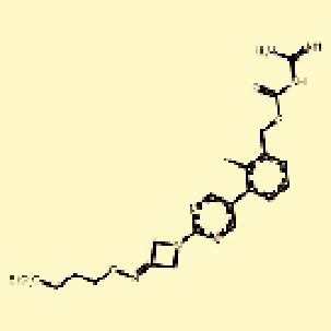 CCOC(=O)CCCON=C1CN(c2ncc(-c3cccc(COC(=O)NC(=N)N)c3F)cn2)C1